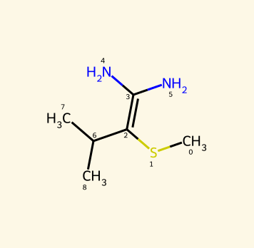 CSC(=C(N)N)C(C)C